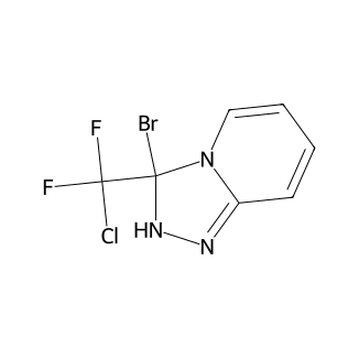 FC(F)(Cl)C1(Br)NN=C2C=CC=CN21